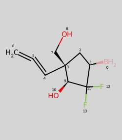 B[C@@H]1C[C@](C=C=C)(CO)[C@H](O)C1(F)F